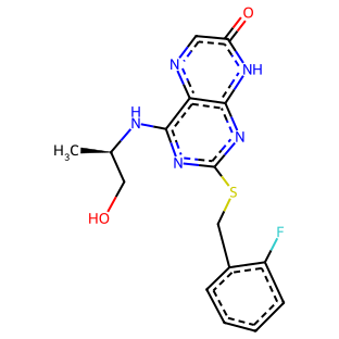 C[C@H](CO)Nc1nc(SCc2ccccc2F)nc2[nH]c(=O)cnc12